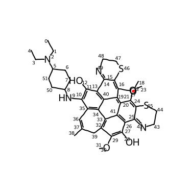 CCN(CC)C1CCC(Nc2c(O)c3c4c(c(OC)c5c6c(OC)c7c(c8c(O)c(OC)c9c(c(c2C=C(C)C9)c35)c86)=NCCS7)SCCN=4)CC1